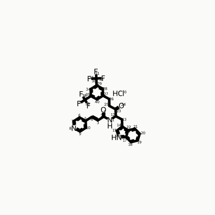 Cl.O=C(C=Cc1ccncc1)NC(Cc1c[nH]c2ccccc12)C(=O)CCc1cc(C(F)(F)F)cc(C(F)(F)F)c1